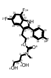 CN(C[C@H](O)CO)C(=O)OCCc1c(-c2ccc(F)cc2)[nH]c2c(F)cc(F)cc12